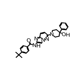 CC(C)(C)c1ccc(C(=O)Nc2cn3nc(N4CCC(O)(c5ccccc5)CC4)ccc3n2)cc1